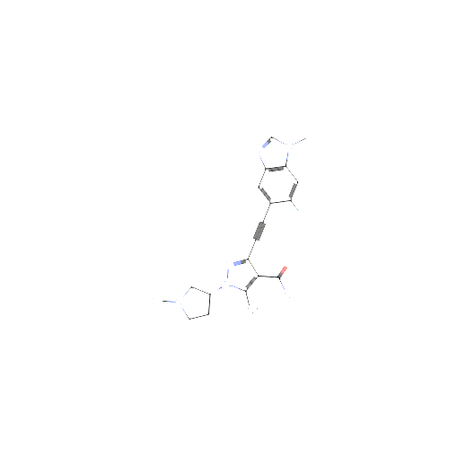 CNc1c(C(N)=O)c(C#Cc2cc3ncn(C)c3cc2Cl)nn1[C@H]1CCN(C(C)=O)C1